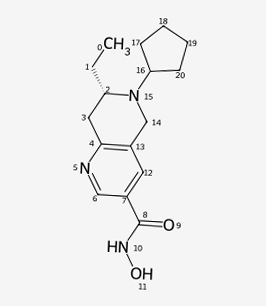 CC[C@H]1Cc2ncc(C(=O)NO)cc2CN1C1CCCC1